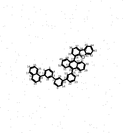 c1cc(-c2cccc(-c3cccc4ccccc34)c2)cc(-c2cccc(-c3c4ccccc4c(-c4cccc5c4oc4ccccc45)c4ccccc34)c2)c1